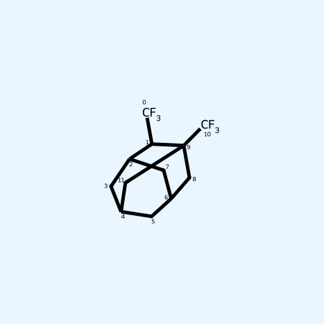 FC(F)(F)C1C2CC3CC(C2)CC1(C(F)(F)F)C3